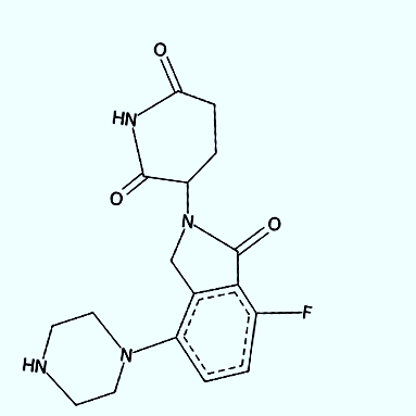 O=C1CCC(N2Cc3c(N4CCNCC4)ccc(F)c3C2=O)C(=O)N1